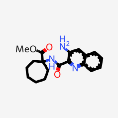 COC(=O)C1(NC(=O)c2nc3ccccc3cc2N)CCCCCC1